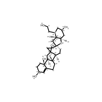 C[C@H]1C[C@H]2O[C@]3(CC[C@H]4[C@@H]5CCC6=C[C@@H](O)CC[C@]6(C)[C@H]5CC45CC53C)[C@H](I)[C@@H]2N(CCO)C1